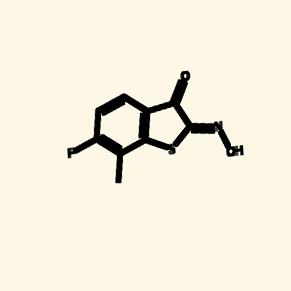 Cc1c(F)ccc2c1SC(=NO)C2=O